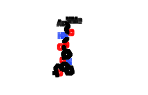 CNC(CCC(=O)NCCOC(=O)c1ccc(/N=C2\C(=O)C3=C(OC(C)(C)CC3)c3ccccc32)cc1)C(C)=O